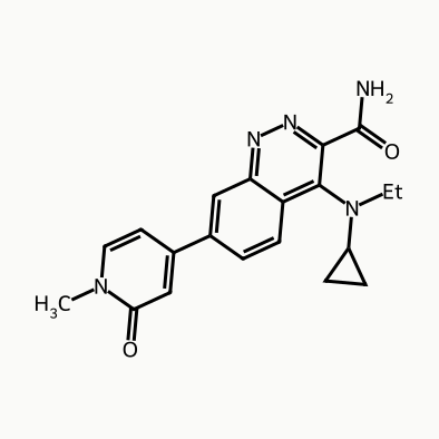 CCN(c1c(C(N)=O)nnc2cc(-c3ccn(C)c(=O)c3)ccc12)C1CC1